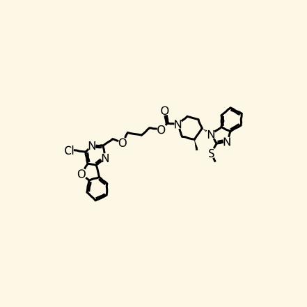 CSc1nc2ccccc2n1[C@H]1CCN(C(=O)OCCCOCc2nc(Cl)c3oc4ccccc4c3n2)C[C@@H]1C